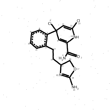 NC(=O)C1=CC(Cl)(c2ccccc2CCC2COC(N)=N2)C=C(Cl)N1